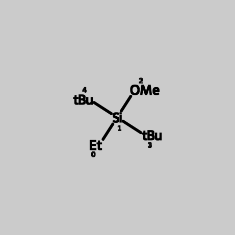 CC[Si](OC)(C(C)(C)C)C(C)(C)C